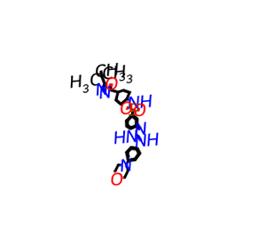 CC(C)(C)c1nnc(C2CCC(NS(=O)(=O)c3ccc4[nH]c(Nc5ccc(N6CCOCC6)cc5)nc4c3)CC2)o1